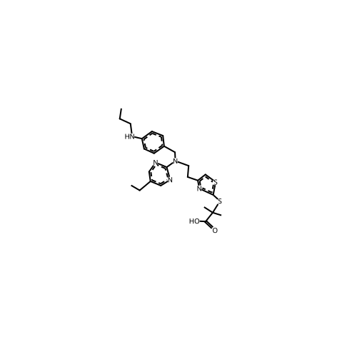 CCCNc1ccc(CN(CCc2csc(SC(C)(C)C(=O)O)n2)c2ncc(CC)cn2)cc1